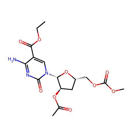 CCOC(=O)c1cn([C@@H]2O[C@H](COC(=O)OC)C[C@H]2OC(C)=O)c(=O)nc1N